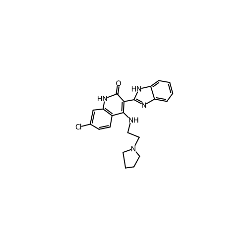 O=c1[nH]c2cc(Cl)ccc2c(NCCN2CCCC2)c1-c1nc2ccccc2[nH]1